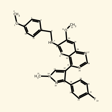 COc1ccc(CNc2nc3c(-c4cn(C)nc4-c4ccc(F)cc4)ncnc3cc2OC)cc1